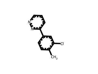 Cc1ccc(-c2cccnn2)cc1Cl